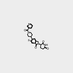 O=C1CCC(N2Cc3cc(C4CCN(C(=O)c5cccnc5)CC4)c(F)cc3C2=O)C(=O)N1